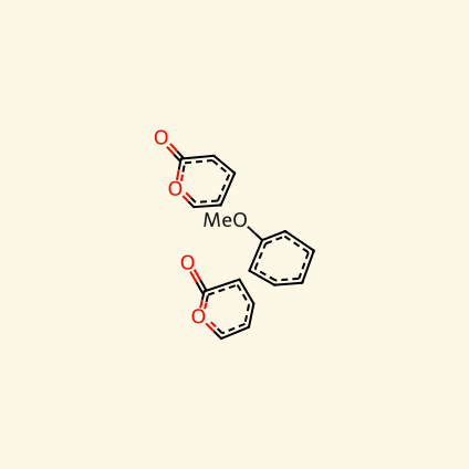 COc1ccccc1.O=c1cccco1.O=c1cccco1